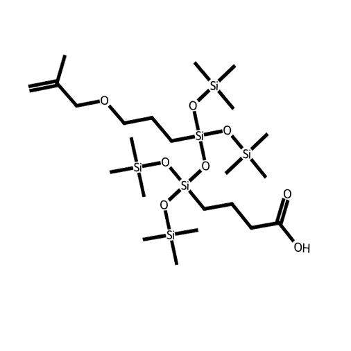 C=C(C)COCCC[Si](O[Si](C)(C)C)(O[Si](C)(C)C)O[Si](CCCC(=O)O)(O[Si](C)(C)C)O[Si](C)(C)C